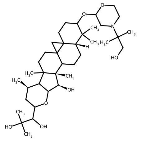 C[C@@H]1CC(C(O)C(C)(C)O)OC2C1C1(C)CCC34CC35CCC(OC3CN(C(C)(C)CO)CCO3)C(C)(C)[C@@H]5CCC4[C@]1(C)[C@H]2O